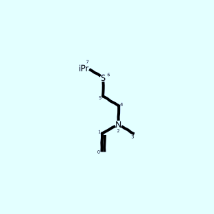 C=CN(C)CCSC(C)C